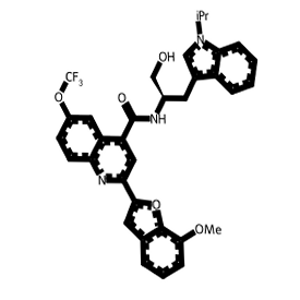 COc1cccc2cc(-c3cc(C(=O)N[C@@H](CO)Cc4cn(C(C)C)c5ccccc45)c4cc(OC(F)(F)F)ccc4n3)oc12